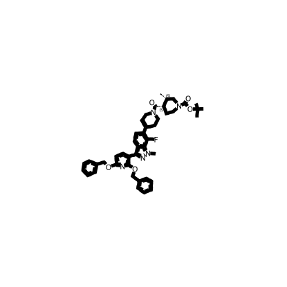 C[C@@H]1CN(C(=O)OC(C)(C)C)CC[C@@H]1C(=O)N1CC=C(c2ccc3c(-c4ccc(OCc5ccccc5)nc4OCc4ccccc4)nn(C)c3c2F)CC1